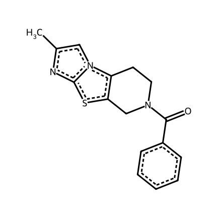 Cc1cn2c3c(sc2n1)CN(C(=O)c1ccccc1)CC3